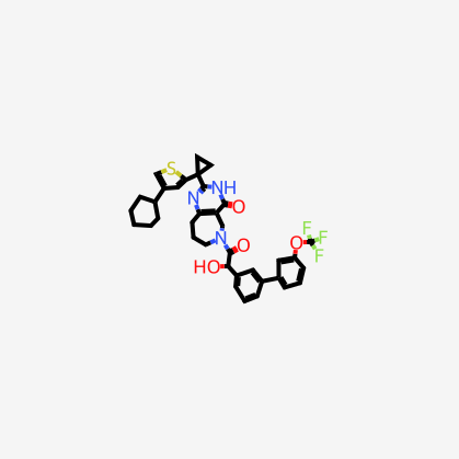 O=C(C(O)c1cccc(-c2cccc(OC(F)(F)F)c2)c1)N1CCCc2nc(C3(c4cc(C5CCCCC5)cs4)CC3)[nH]c(=O)c2C1